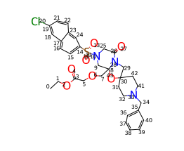 CCOC(=O)COCC12CN(S(=O)(=O)c3ccc4cc(Cl)ccc4c3)CC(=O)N1CC1(CCN(Cc3ccccc3)CC1)O2